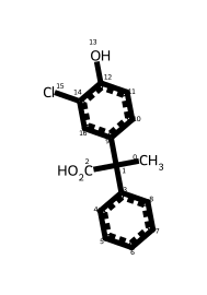 CC(C(=O)O)(c1ccccc1)c1ccc(O)c(Cl)c1